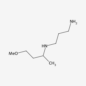 COCCC(C)NCCCN